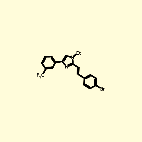 CCn1cc(-c2cccc(C(F)(F)F)c2)nc1/C=C/c1ccc(Br)cc1